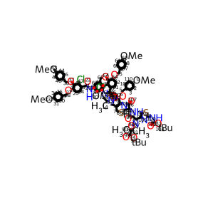 COc1ccc(COC(=O)C2=C(C[N+]3([C@H](C)CN(CCCNC(=O)c4ccc(OCc5ccc(OC)cc5)c(OCc5ccc(OC)cc5)c4Cl)C(=O)c4ccc(OCc5ccc(OC)cc5)c(OCc5ccc(OC)cc5)c4Cl)CCCC3)CS[C@@H]3[C@H](NC(=O)/C(=N\OC(C)(C)C(=O)OC(C)(C)C)c4csc(NC(=O)OC(C)(C)C)n4)C(=O)N23)cc1